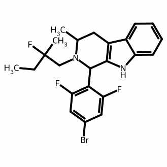 CCC(C)(F)CN1C(C)Cc2c([nH]c3ccccc23)C1c1c(F)cc(Br)cc1F